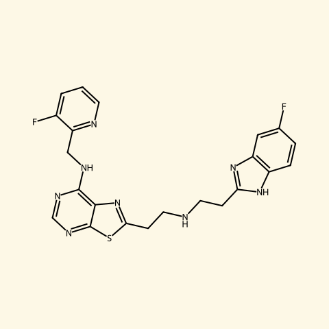 Fc1ccc2[nH]c(CCNCCc3nc4c(NCc5ncccc5F)ncnc4s3)nc2c1